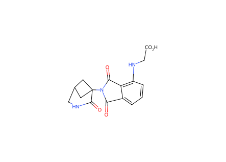 O=C(O)CNc1cccc2c1C(=O)N(C13CC(CNC1=O)C3)C2=O